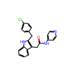 O=C(Cc1c(Cc2ccc(Cl)cc2)[nH]c2ccccc12)Nc1ccncc1